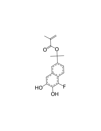 C=C(C)C(=O)OC(C)(C)c1ccc2c(F)c(O)c(O)cc2c1